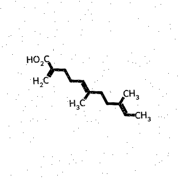 C=C(CC/C=C(\C)CC/C(C)=C/C)C(=O)O